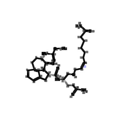 CC(C)(C)OC(=O)N[C@H]1CCc2cccc3c2N(C1=O)[C@H](C(=O)N[C@@H](CCC(N)=O)COC/C=C\CCCCCC(N)=O)C3